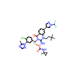 Cc1ncnn1-c1cc([C@@H](COC(=O)NC2(C)CC2)N(C(=N)NCCC(C)(C)C)C(=O)c2ccc(-c3cnn(C(F)F)c3)cc2)ccc1Cl